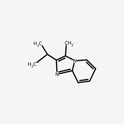 [CH2]c1c(C(C)C)nc2ccccn12